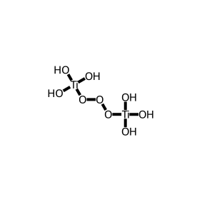 [OH][Ti]([OH])([OH])[O]O[O][Ti]([OH])([OH])[OH]